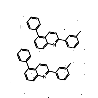 Cc1cccc(-c2ccc3c(-c4ccccc4)cccc3n2)c1.Cc1cccc(-c2ccc3c(-c4ccccc4)cccc3n2)c1.[Ir]